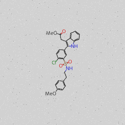 COC(=O)Cc1c(-c2ccc(Cl)c(S(=O)(=O)NCCc3ccc(OC)cc3)c2)[nH]c2ccccc12